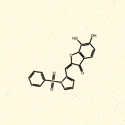 O=C1C(=Cc2cccn2S(=O)(=O)c2ccccc2)Oc2c1ccc(O)c2O